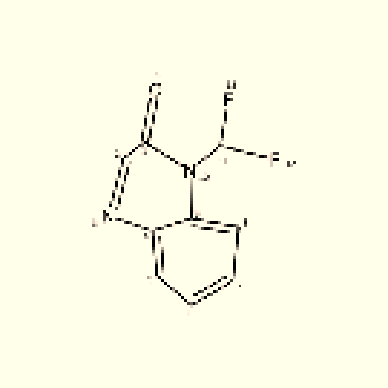 O=c1cnc2ccccc2n1C(F)F